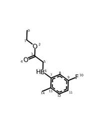 CCOC(=O)CBc1cc(F)ccc1C